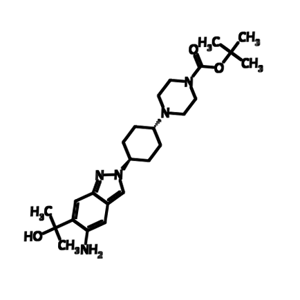 CC(C)(C)OC(=O)N1CCN([C@H]2CC[C@H](n3cc4cc(N)c(C(C)(C)O)cc4n3)CC2)CC1